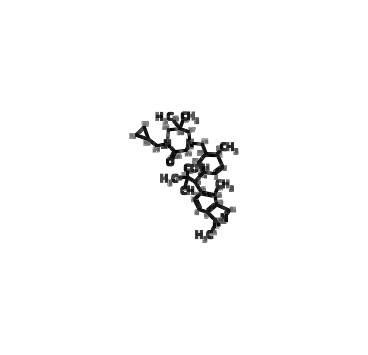 Cc1ccc(C(c2ccc3c(cnn3C)c2C)C(C)(C)C(=O)O)cc1CN1CC(=O)N(CC2CC2)CC(C)(C)C1